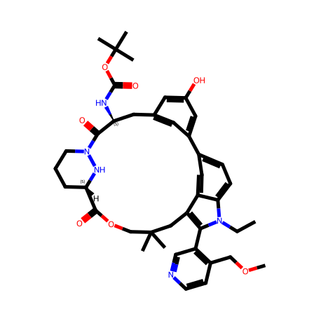 CCn1c(-c2cnccc2COC)c2c3cc(ccc31)-c1cc(O)cc(c1)C[C@H](NC(=O)OC(C)(C)C)C(=O)N1CCC[C@H](N1)C(=O)OCC(C)(C)C2